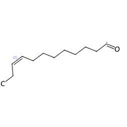 CC/C=C\CCCCCCC[C]=O